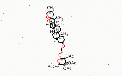 CC(=O)OC[C@H]1O[C@@H](OCCO[C@H]2CC[C@@]3(C)[C@@H](CC[C@@H]4[C@@H]3CC[C@]3(C)[C@@H]5[C@H](C[C@@H]43)O[C@]3(CC[C@@H](C)CO3)[C@H]5C)C2)[C@H](OC(C)=O)[C@@H](OC(C)=O)[C@H]1OC(C)=O